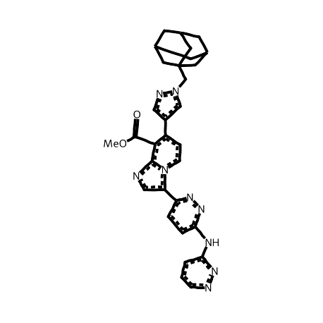 COC(=O)c1c(-c2cnn(CC34CC5CC(CC(C5)C3)C4)c2)ccn2c(-c3ccc(Nc4cccnn4)nn3)cnc12